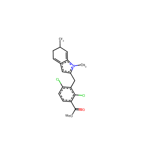 COC(=O)c1ccc(Cl)c(Cc2cc3c(n2C)=CC(C(F)(F)F)CC=3)c1Cl